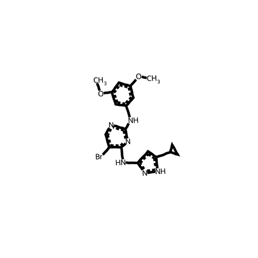 COc1cc(Nc2ncc(Br)c(Nc3cc(C4CC4)[nH]n3)n2)cc(OC)c1